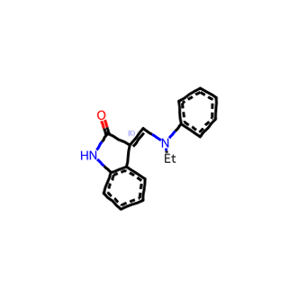 CCN(/C=C1/C(=O)Nc2ccccc21)c1ccccc1